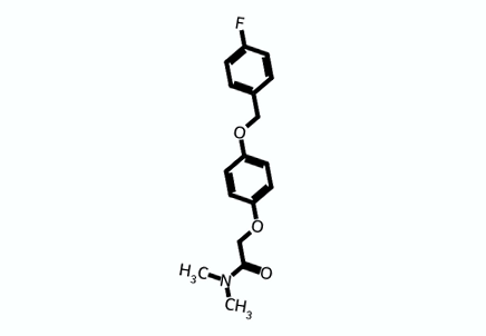 CN(C)C(=O)COc1ccc(OCc2ccc(F)cc2)cc1